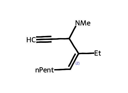 C#CC(NC)/C(=C\CCCCC)CC